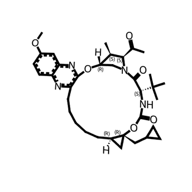 COc1ccc2nc3c(nc2c1)O[C@H]1CN(C(=O)[C@H](C(C)(C)C)NC(=O)O[C@]2(CC4CC4)C[C@H]2CCCCC3)[C@H](C(C)=O)[C@@H]1C